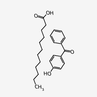 CCCCCCCCCCCC(=O)O.O=C(c1ccccc1)c1ccc(O)cc1